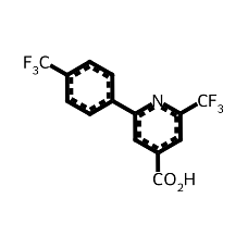 O=C(O)c1cc(-c2ccc(C(F)(F)F)cc2)nc(C(F)(F)F)c1